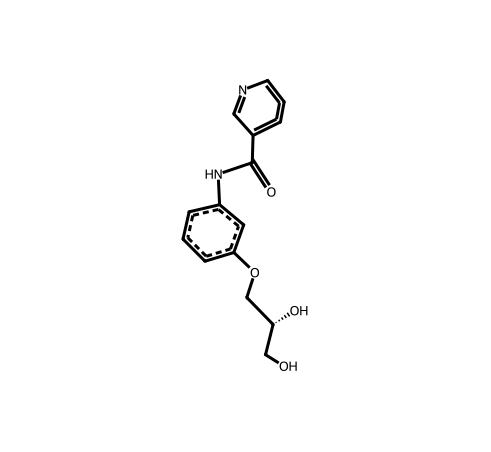 O=C(Nc1cccc(OC[C@H](O)CO)c1)C1=C=C=CN=C1